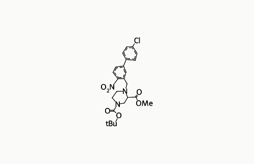 COC(=O)C1CN(C(=O)OC(C)(C)C)CCN1Cc1cc(-c2ccc(Cl)cc2)ccc1[N+](=O)[O-]